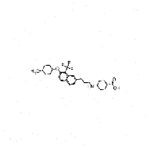 C[C@H]1CC[C@@H](Oc2ccc3ccc(CCCN[C@H]4CC[C@@H](C(=O)O)CC4)cc3c2C(F)(F)F)CC1